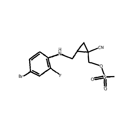 CS(=O)(=O)OCC1(C#N)CC1CNc1ccc(Br)cc1F